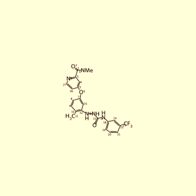 CNC(=O)c1cc(Oc2ccc(C)c(NNC(=O)Nc3cccc(C(F)(F)F)c3)c2)ccn1